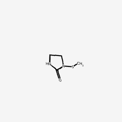 CSN1CCNC1=O